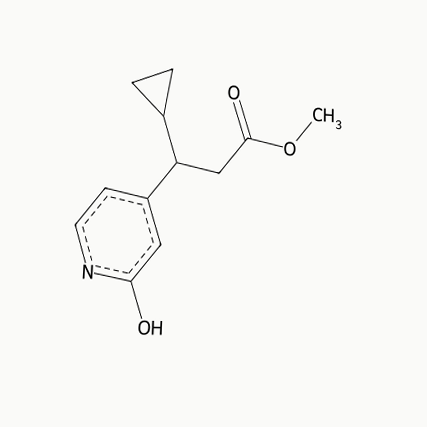 COC(=O)CC(c1ccnc(O)c1)C1CC1